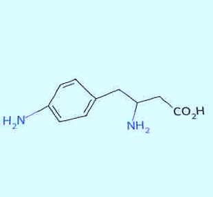 Nc1ccc(CC(N)CC(=O)O)cc1